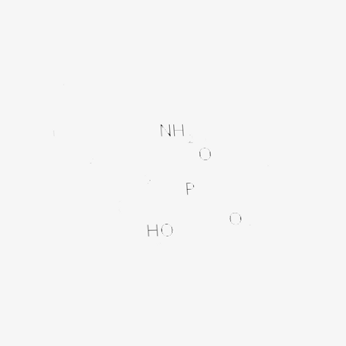 C=C[C@H]1C[C@]1(N)P(=O)(O)OCC